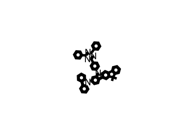 CC1(C)c2ccccc2-c2cc3c(cc21)c1ccc(-n2c4ccccc4c4ccccc42)cc1n3-c1ccc(-c2nc(-c3ccccc3)nc(-c3ccccc3)n2)cc1